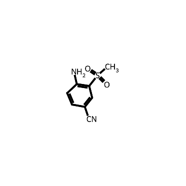 CS(=O)(=O)c1cc(C#N)ccc1N